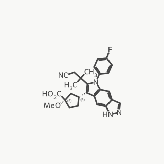 CO[C@@]1(C(=O)O)CC[C@@H](c2c(C(C)(C)CC#N)n(-c3ccc(F)cc3)c3cc4cn[nH]c4cc23)C1